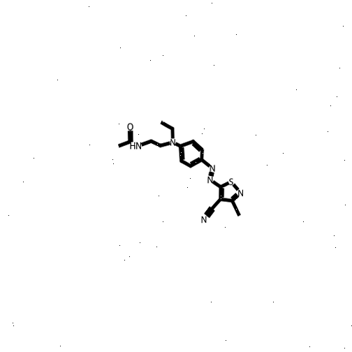 CCN(CCNC(C)=O)c1ccc(/N=N/c2snc(C)c2C#N)cc1